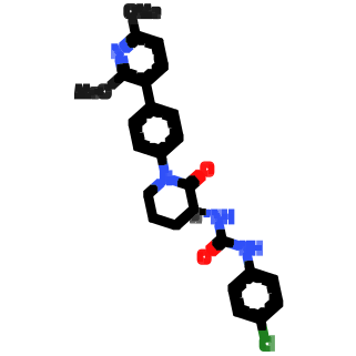 COc1ccc(-c2ccc(N3CCC[C@@H](NC(=O)Nc4ccc(Cl)cc4)C3=O)cc2)c(OC)n1